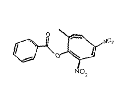 Cc1cc([N+](=O)[O-])cc([N+](=O)[O-])c1OC(=O)c1ccccc1